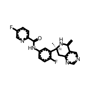 C=C1N[C@](C)(c2cc(NC(=O)c3ccc(F)cn3)ccc2F)Cc2ncncc21